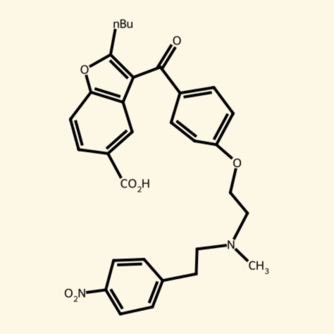 CCCCc1oc2ccc(C(=O)O)cc2c1C(=O)c1ccc(OCCN(C)CCc2ccc([N+](=O)[O-])cc2)cc1